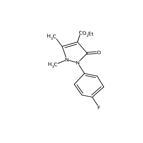 CCOC(=O)c1c(C)n(C)n(-c2ccc(F)cc2)c1=O